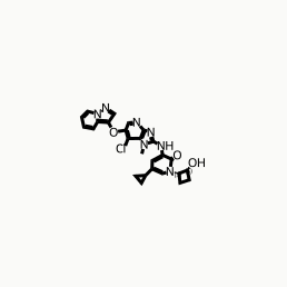 Cn1c(Nc2cc(C3CC3)cn([C@H]3CC[C@@H]3O)c2=O)nc2ncc(Oc3cnn4ccccc34)c(Cl)c21